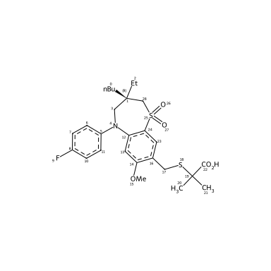 CCCC[C@]1(CC)CN(c2ccc(F)cc2)c2cc(OC)c(CSC(C)(C)C(=O)O)cc2S(=O)(=O)C1